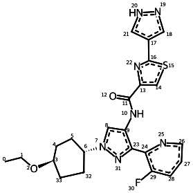 CCO[C@H]1CC[C@H](n2cc(NC(=O)c3csc(-c4cn[nH]c4)n3)c(-c3ncccc3F)n2)CC1